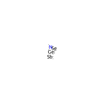 [Ge].[N].[Sb].[Se]